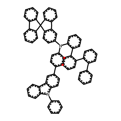 c1ccc(-c2ccccc2-c2ccccc2-c2ccccc2N(c2ccc(-c3ccc4c(c3)c3ccccc3n4-c3ccccc3)cc2)c2ccc3c(c2)-c2ccccc2C32c3ccccc3-c3ccccc32)cc1